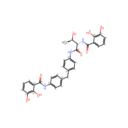 C[C@@H](O)[C@H](NC(=O)c1cccc(O)c1O)C(=O)Nc1ccc(Cc2ccc(NC(=O)c3cccc(O)c3O)cc2)cc1